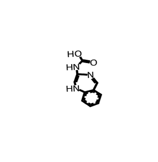 O=C(O)NC1=CNc2ccccc2C=N1